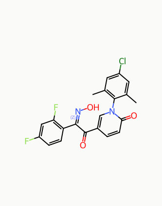 Cc1cc(Cl)cc(C)c1-n1cc(C(=O)/C(=N\O)c2ccc(F)cc2F)ccc1=O